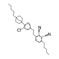 CCCCCc1ccc(CCc2ccc(C34CCC(CCCCC)(CC3)CC4)c(Cl)c2)c(C#N)c1C#N